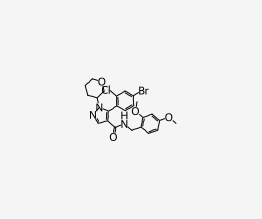 COc1ccc(CNC(=O)c2cnn(C3CCCOC3)c2-c2ccc(Br)cc2Cl)c(OC)c1